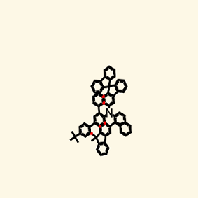 CC(C)(C)c1ccc(-c2ccc(N(c3ccc4c(c3)-c3ccccc3C43c4ccccc4-c4ccccc43)c3ccc4ccccc4c3-c3ccc4c(c3)-c3ccccc3C4(C)C)c(-c3ccccc3)c2)cc1